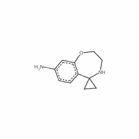 Nc1ccc2c(c1)OCCNC21CC1